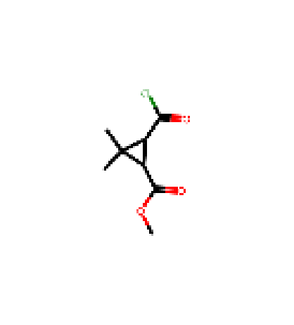 COC(=O)C1C(C(=O)Cl)C1(C)C